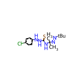 CC(C)(C)N=NC(C)(C)NC(=S)NNc1ccc(Cl)cc1